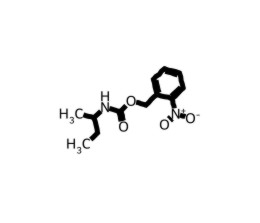 CCC(C)NC(=O)OCc1ccccc1[N+](=O)[O-]